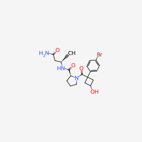 C#C[C@H](CC(N)=O)NC(=O)[C@@H]1CCCN1C(=O)C1(c2ccc(Br)cc2)CC(O)C1